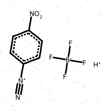 F[B-](F)(F)F.N#[N+]c1ccc([N+](=O)[O-])cc1.[H+]